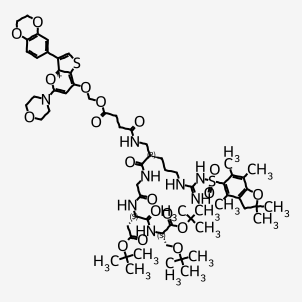 Cc1c(C)c(S(=O)(=O)NC(=N)NCCC[C@H](CNC(=O)CCC(=O)OCOc2cc(N3CCOCC3)[o+]c3c(-c4ccc5c(c4)OCCO5)csc23)C(=O)NCC(=O)N[C@@H](CC(=O)OC(C)(C)C)C(=O)N[C@@H](COC(C)(C)C)C(=O)OC(C)(C)C)c(C)c2c1OC(C)(C)C2